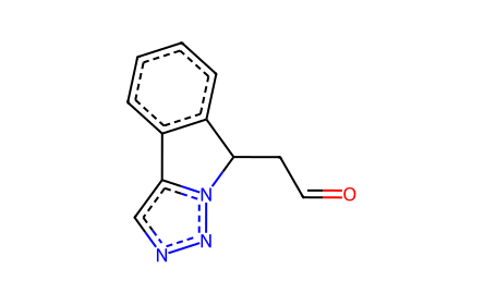 O=CCC1c2ccccc2-c2cnnn21